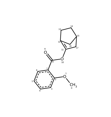 COc1ccccc1C(=O)OC1=C2CCC(C2)C1